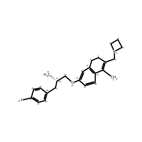 CC1=C(CN2CCC2)CCc2cc(OC[C@@H](C)Cc3ccc(F)cc3)ccc21